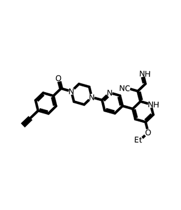 C#Cc1ccc(C(=O)N2CCN(c3ccc(C4=CC(OCC)=CN/C4=C(/C#N)C=N)cn3)CC2)cc1